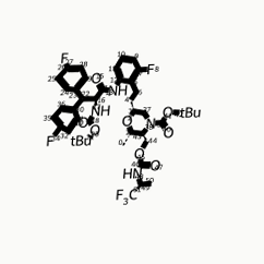 C[C@@H]1O[C@H](CCc2c(F)cccc2NC(=O)[C@@H](NC(=O)OC(C)(C)C)C(c2ccc(F)cc2)c2ccc(F)cc2)CN(C(=O)OC(C)(C)C)[C@@H]1COC(=O)N[C@@H](C)C(F)(F)F